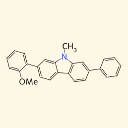 COc1ccccc1-c1ccc2c3ccc(-c4ccccc4)cc3n(C)c2c1